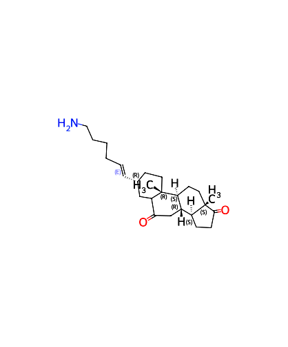 C[C@]12CC[C@@H](/C=C/CCCCN)CC1C(=O)C[C@@H]1[C@@H]2CC[C@]2(C)C(=O)CC[C@@H]12